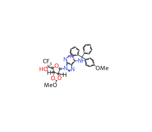 COc1ccc(C(Nc2ncnc3c2ncn3[C@@H]2O[C@H]([C@H](O)C(F)(F)F)[C@H]3OC(OC)O[C@H]32)(c2ccccc2)c2ccccc2)cc1